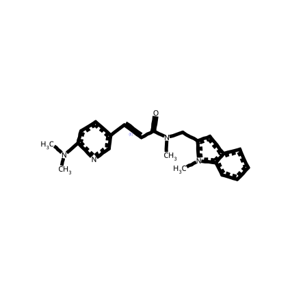 CN(Cc1cc2ccccc2n1C)C(=O)/C=C/c1ccc(N(C)C)nc1